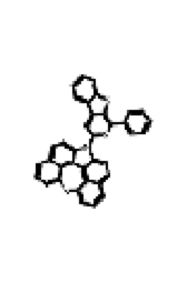 c1ccc(-c2nc(-n3c4ccc5cccc6sc7cccc8ccc3c(c87)c4c56)cc3c2sc2ccccc23)cc1